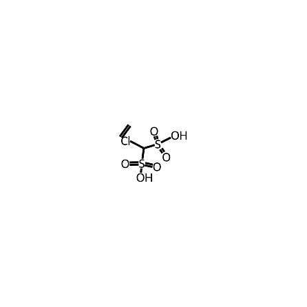 C=C.O=S(=O)(O)C(Cl)S(=O)(=O)O